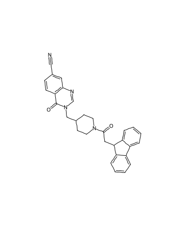 N#Cc1ccc2c(=O)n(CC3CCN(C(=O)CC4c5ccccc5-c5ccccc54)CC3)cnc2c1